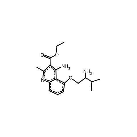 CCOC(=O)c1c(C)nc2cccc(OCC(N)C(C)C)c2c1N